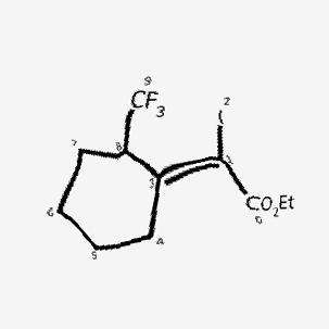 CCOC(=O)C(I)=C1CCCCC1C(F)(F)F